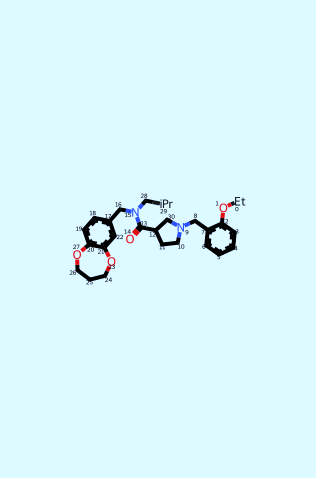 CCOc1ccccc1CN1CCC(C(=O)N(Cc2ccc3c(c2)OCCCO3)CC(C)C)C1